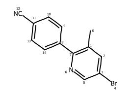 Cc1cc(Br)cnc1-c1ccc(C#N)cc1